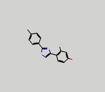 COc1cc(O)ccc1-c1c[nH]c(-c2ccc(C)cc2)n1